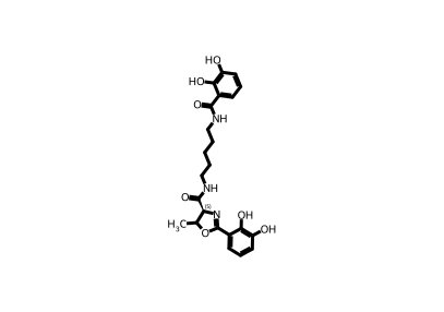 CC1OC(c2cccc(O)c2O)=N[C@@H]1C(=O)NCCCCCNC(=O)c1cccc(O)c1O